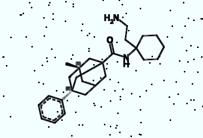 C[C@]12CC3CC(C(=O)NC4(CCN)CCCCC4)(C1)C[C@@](c1ccccc1)(C3)C2